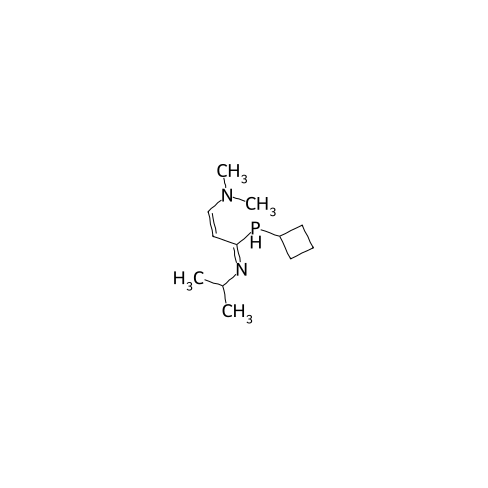 CC(C)/N=C(\C=C/N(C)C)PC1CCC1